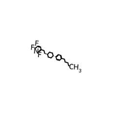 CCCCCc1ccc([C@H]2CC[C@H](CCc3cc(F)c(F)nc3F)CC2)cc1